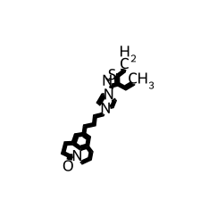 C=Cc1snc(N2C=CN(CCCCc3cc4c5c(c3)CCC(=O)N5CCC4)CC2)c1/C=C\C